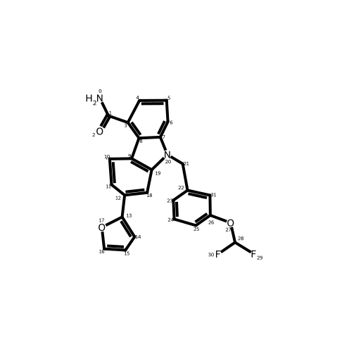 NC(=O)c1cccc2c1c1[c]cc(-c3ccco3)cc1n2Cc1cccc(OC(F)F)c1